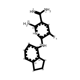 N=C(N)c1cc(F)c(Nc2cccc3c2CCC3)nc1N